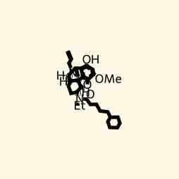 C=CCN1CC[C@]23c4c5c(O)cc(OC)c4O[C@H]2[C@@H](N(CC)C(=O)CCCCC2CCCCC2)CC[C@H]3[C@H]1C5